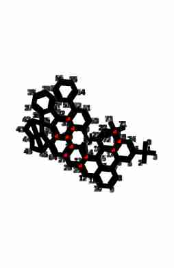 CC(C)(C)c1cc(-c2cccc3cccc(-c4ccccc4N(c4ccccc4-c4ccc5c(c4)C4(c6ccccc6-5)C5CC6CC5CC64)c4ccc(-c5ccccc5)cc4-c4ccccc4)c23)cc(C(C)(C)C)c1